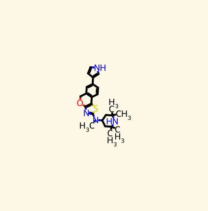 CN(c1nc2c(s1)-c1ccc(-c3cc[nH]c3)cc1CO2)C1CC(C)(C)NC(C)(C)C1